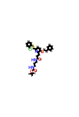 CC(C)(C)OC(=O)NCCCNC(=O)C=Cc1nc(CSc2ccccc2Cl)ccc1OCCc1ccccc1